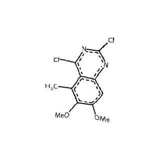 COc1cc2nc(Cl)nc(Cl)c2c(C)c1OC